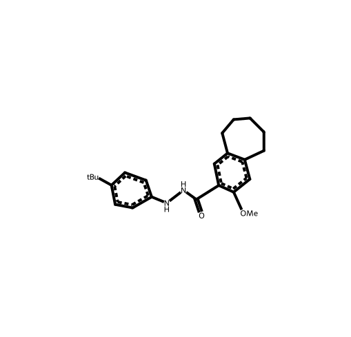 COc1cc2c(cc1C(=O)NNc1ccc(C(C)(C)C)cc1)CCCCC2